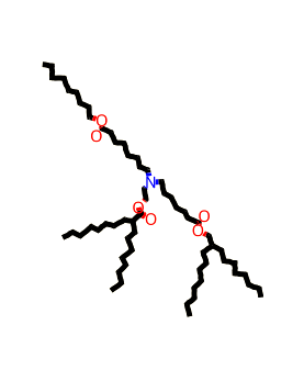 CCCCCCCCCOC(=O)CCCCCCCN(CCCCCCC(=O)OCC(CCCCCCCC)CCCCCCCC)CCOC(=O)C(CCCCCCCC)CCCCCCCC